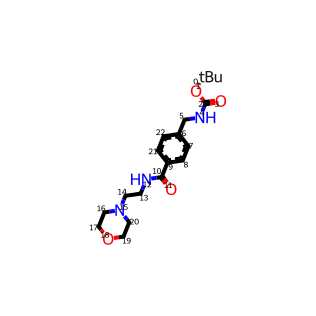 CC(C)(C)OC(=O)NCc1ccc(C(=O)NCCN2CCOCC2)cc1